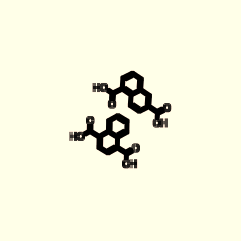 O=C(O)c1ccc(C(=O)O)c2ccccc12.O=C(O)c1ccc2c(C(=O)O)cccc2c1